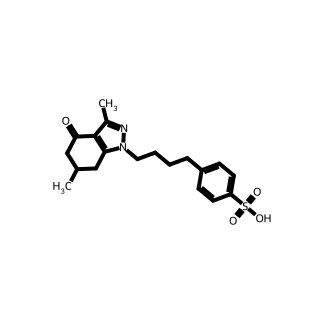 Cc1nn(CCCCc2ccc(S(=O)(=O)O)cc2)c2c1C(=O)CC(C)C2